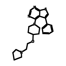 c1ccc(-c2csc3ncnc(N4CCC(OCCN5CCCC5)CC4)c23)cc1